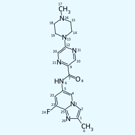 Cc1cn2cc(NC(=O)c3cnc(N4CCN(C)CC4)cn3)cc(F)c2n1